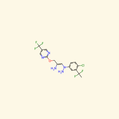 CC(F)(F)c1cc(N(N)/C=C(\N)COc2ncc(C(F)(F)F)cn2)ccc1Cl